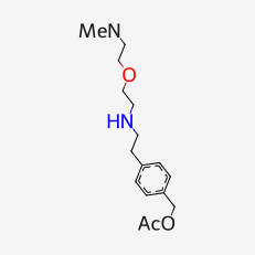 CNCCOCCNCCc1ccc(COC(C)=O)cc1